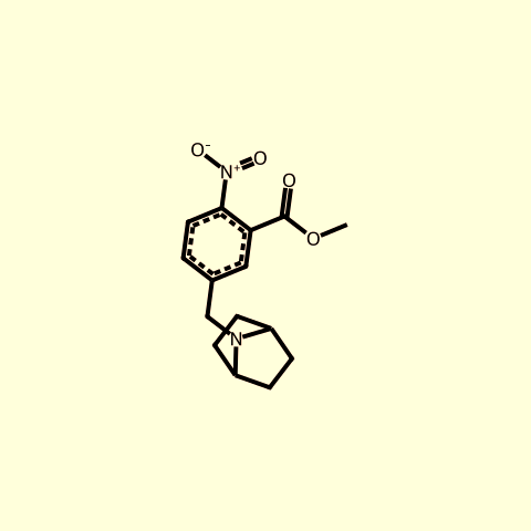 COC(=O)c1cc(CN2C3CCC2CC3)ccc1[N+](=O)[O-]